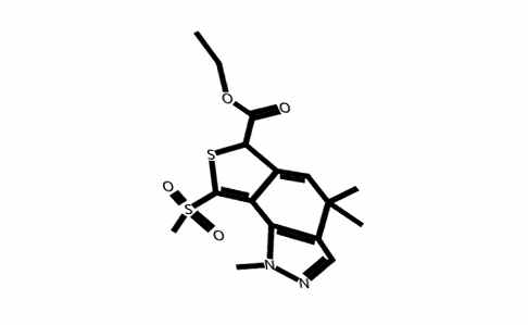 CCOC(=O)C1SC(S(C)(=O)=O)=C2C1=CC(C)(C)c1cnn(C)c12